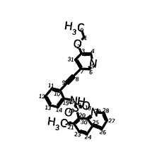 CCOc1cncc(C#Cc2ccccc2NS(=O)(=O)c2c(C)ccc3cccnc23)c1